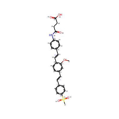 COc1cc(/C=C/c2ccc(S(C)(=O)=O)cc2)ccc1/C=C/c1ccc(NC(=O)CCC(=O)O)cc1